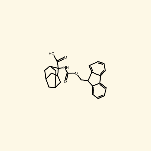 O=C(NC1(C(=O)O)C2CC3CC(C2)CC1C3)OCC1c2ccccc2-c2ccccc21